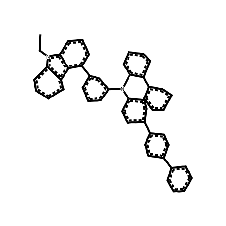 CCn1c2ccccc2c2c(-c3cccc(N(c4ccc(-c5ccc(-c6ccccc6)cc5)cc4)c4ccccc4-c4ccccc4)c3)cccc21